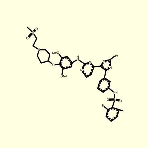 COc1cc(Nc2nccc(-c3sc(C(C)C)nc3-c3cccc(NS(=O)(=O)c4c(F)cccc4F)c3)n2)cc(OC)c1OC1CCN(CCS(C)(=O)=O)CC1